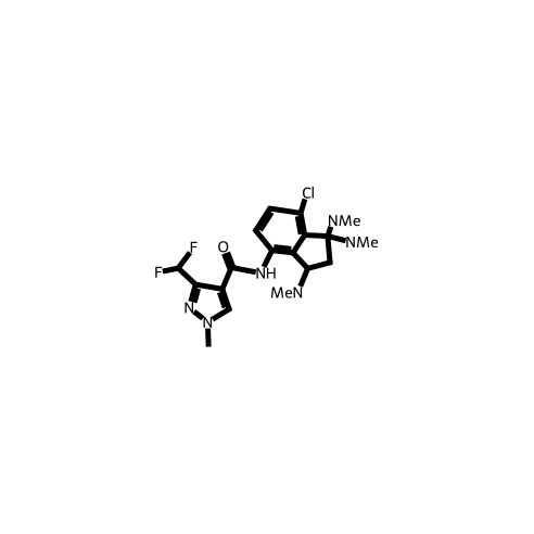 CNC1CC(NC)(NC)c2c(Cl)ccc(NC(=O)c3cn(C)nc3C(F)F)c21